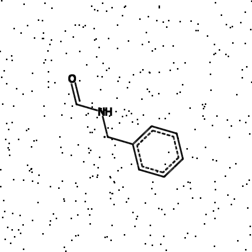 O=CN[CH]c1ccccc1